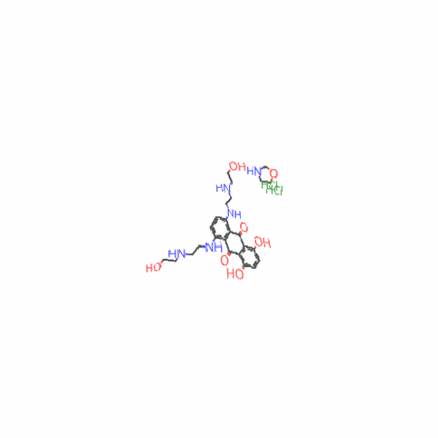 C1COCN1.Cl.Cl.O=C1c2c(O)ccc(O)c2C(=O)c2c(NCCNCCO)ccc(NCCNCCO)c21